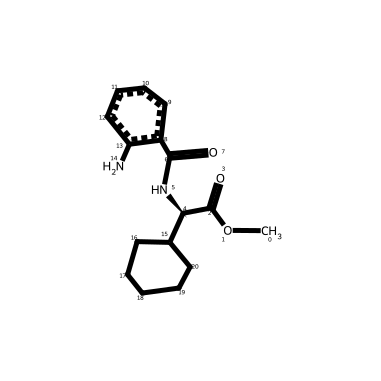 COC(=O)[C@H](NC(=O)c1ccccc1N)C1CCCCC1